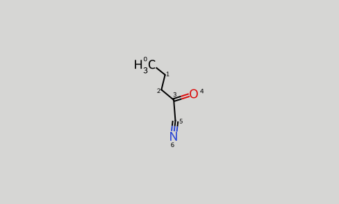 CCCC(=O)C#N